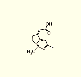 Cc1cc(F)cc2c1CC/C2=C/C(=O)O